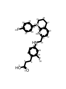 O=C(O)CCc1ccc(NCc2ccc3c(n2)N(c2ccc(F)cc2)CCC3)cc1F